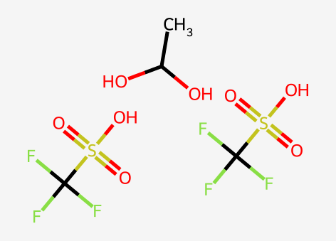 CC(O)O.O=S(=O)(O)C(F)(F)F.O=S(=O)(O)C(F)(F)F